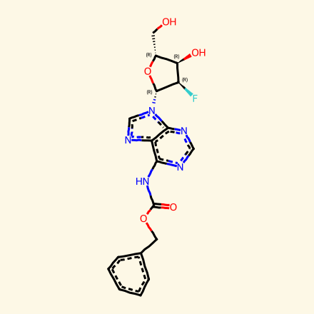 O=C(Nc1ncnc2c1ncn2[C@@H]1O[C@H](CO)[C@@H](O)[C@H]1F)OCc1ccccc1